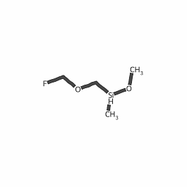 CO[SiH](C)COCF